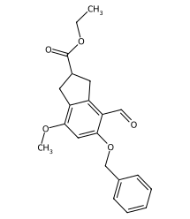 CCOC(=O)C1Cc2c(OC)cc(OCc3ccccc3)c(C=O)c2C1